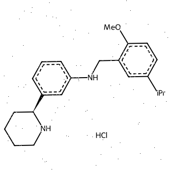 COc1ccc(C(C)C)cc1CNc1cccc([C@@H]2CCCCN2)c1.Cl